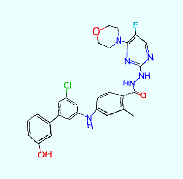 Cc1cc(Nc2cc(Cl)cc(-c3cccc(O)c3)c2)ccc1C(=O)NNc1ncc(F)c(N2CCOCC2)n1